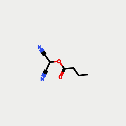 CCCC(=O)OC(C#N)C#N